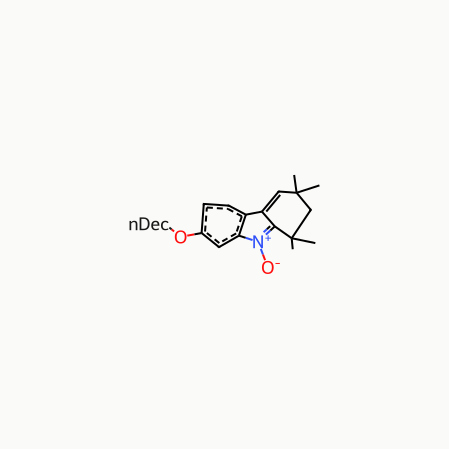 CCCCCCCCCCOc1ccc2c(c1)[N+]([O-])=C1C2=CC(C)(C)CC1(C)C